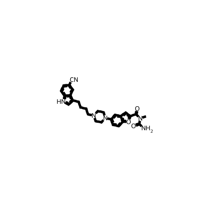 CN(C(N)=O)C(=O)c1cc2cc(N3CCN(CCCCc4c[nH]c5ccc(C#N)cc45)CC3)ccc2o1